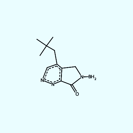 BN1Cc2c(CC(C)(C)C)cnnc2C1=O